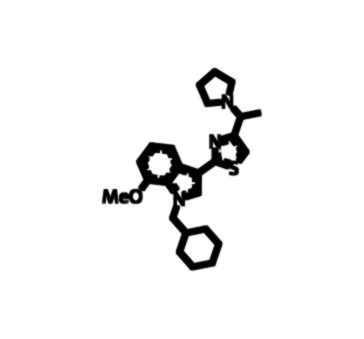 COc1cccc2c(-c3nc(C(C)N4CCCC4)cs3)cn(CC3CCCCC3)c12